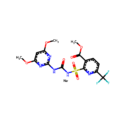 COC(=O)c1ccc(C(F)(F)F)nc1S(=O)(=O)NC(=O)Nc1nc(OC)cc(OC)n1.[Na]